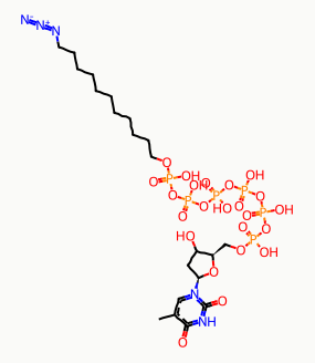 Cc1cn([C@H]2CC(O)[C@@H](COP(=O)(O)OP(=O)(O)OP(=O)(O)OP(=O)(O)OP(=O)(O)OP(=O)(O)OCCCCCCCCCCCN=[N+]=[N-])O2)c(=O)[nH]c1=O